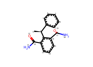 C[C@@H](c1ccccc1)c1c(C(N)=O)cccc1C(N)=O